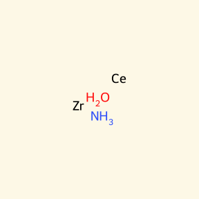 N.O.[Ce].[Zr]